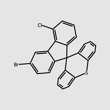 Clc1cccc2c1-c1cc(Br)ccc1C21c2ccccc2Sc2ccccc21